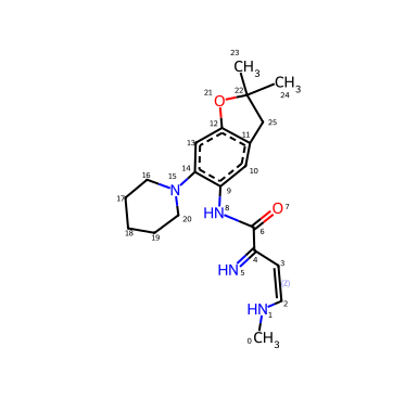 CN/C=C\C(=N)C(=O)Nc1cc2c(cc1N1CCCCC1)OC(C)(C)C2